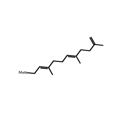 C=C(C)CC/C(C)=C/CC/C(C)=C/CNC